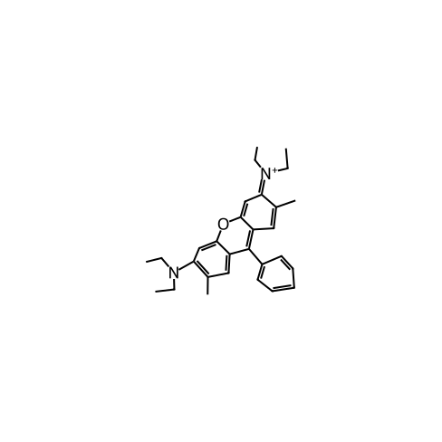 CCN(CC)c1cc2oc3cc(=[N+](CC)CC)c(C)cc-3c(-c3ccccc3)c2cc1C